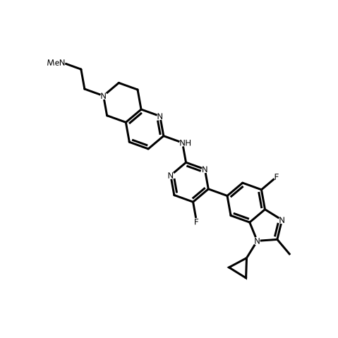 CNCCN1CCc2nc(Nc3ncc(F)c(-c4cc(F)c5nc(C)n(C6CC6)c5c4)n3)ccc2C1